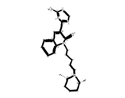 C[C@@H]1CCC[C@H](C)N1CCCCCn1c(=O)c(-c2ncnc(N)n2)cc2ccccc21